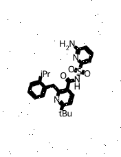 CC(C)c1ccccc1Cc1nc(C(C)(C)C)ccc1C(=O)NS(=O)(=O)c1cccc(N)n1